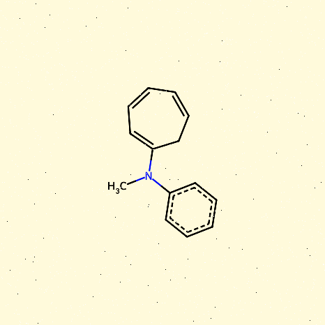 CN(C1=CC=CC=CC1)c1ccccc1